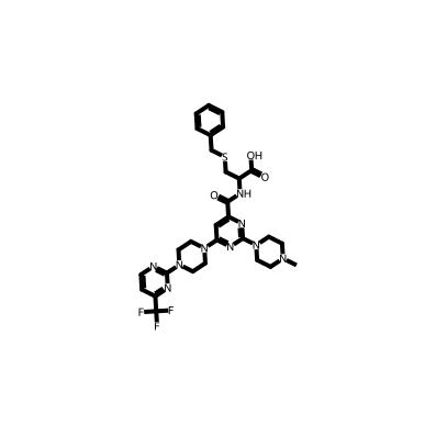 CN1CCN(c2nc(C(=O)NC(CSCc3ccccc3)C(=O)O)cc(N3CCN(c4nccc(C(F)(F)F)n4)CC3)n2)CC1